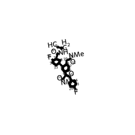 C#CC(=C)NC(=O)c1cc(-c2cc3c(C(=O)NC)c(-c4ccc(F)cc4)oc3cc2CC(=O)NC)ccc1F